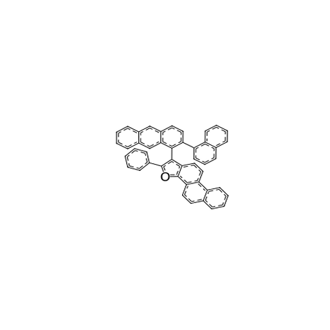 c1ccc(-c2oc3c(ccc4c5ccccc5ccc43)c2-c2c(-c3cccc4ccccc34)ccc3cc4ccccc4cc23)cc1